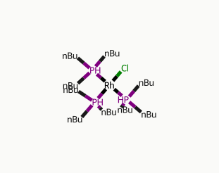 CCCC[PH](CCCC)(CCCC)[Rh]([Cl])([PH](CCCC)(CCCC)CCCC)[PH](CCCC)(CCCC)CCCC